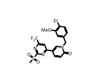 CCc1ccc(Cn2cc(-c3cc(C(F)(F)F)nc(S(C)(=O)=O)n3)ccc2=O)cc1OC